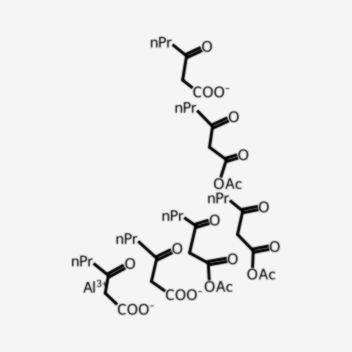 CCCC(=O)CC(=O)OC(C)=O.CCCC(=O)CC(=O)OC(C)=O.CCCC(=O)CC(=O)OC(C)=O.CCCC(=O)CC(=O)[O-].CCCC(=O)CC(=O)[O-].CCCC(=O)CC(=O)[O-].[Al+3]